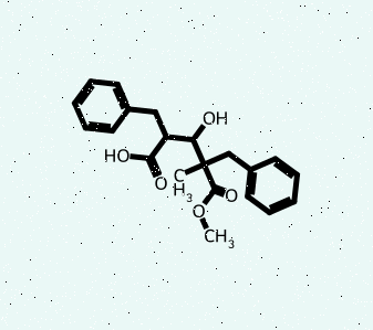 COC(=O)C(C)(Cc1ccccc1)C(O)C(Cc1ccccc1)C(=O)O